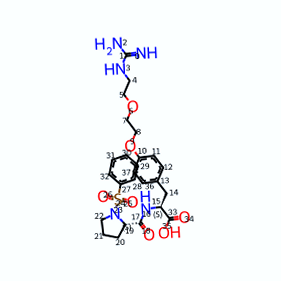 N=C(N)NCCOCCOc1ccc(C[C@H](NC(=O)[C@@H]2CCCN2S(=O)(=O)c2ccccc2)C(=O)O)cc1